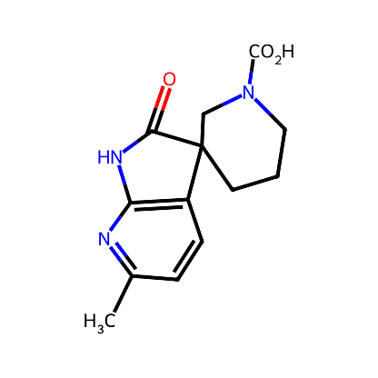 Cc1ccc2c(n1)NC(=O)C21CCCN(C(=O)O)C1